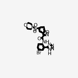 O=C(Nc1ccc(Br)cc1-c1nnn[nH]1)c1noc2ccc(S(=O)(=O)N3CCOCC3)cc12